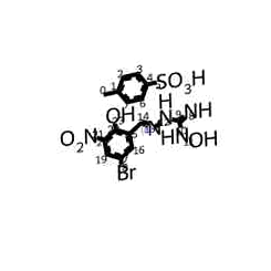 Cc1ccc(S(=O)(=O)O)cc1.N=C(NO)N/N=C/c1cc(Br)cc([N+](=O)[O-])c1O